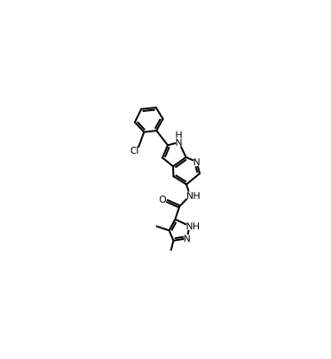 Cc1n[nH]c(C(=O)Nc2cnc3[nH]c(-c4ccccc4Cl)cc3c2)c1C